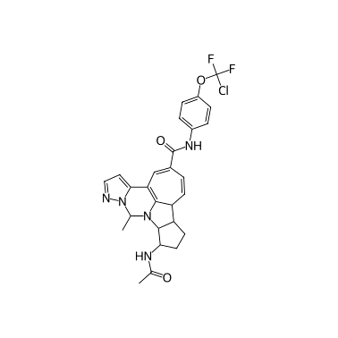 CC(=O)NC1CCC2C3C=CC(C(=O)Nc4ccc(OC(F)(F)Cl)cc4)=CC4=C3N(C12)C(C)n1nccc14